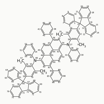 Cc1cc(C2(c3ccccc3)c3ccccc3-c3ccccc32)cc(C)c1N(c1ccccc1)c1cc(-c2ccccc2)c2ccc3c(N(c4ccccc4)c4c(C)cc(C5(c6ccccc6)c6ccccc6-c6ccccc65)cc4C)cc(-c4ccccc4)c4ccc1c2c43